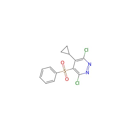 O=S(=O)(c1ccccc1)c1c(Cl)nnc(Cl)c1C1CC1